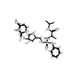 CC(C)OC(=O)C(C)NP(=O)(OCC1C[C@@](C)(F)[C@H](n2ccc(=O)[nH]c2=O)O1)Oc1ccccc1